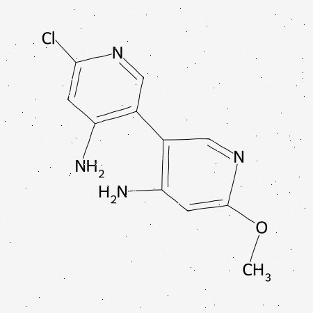 COc1cc(N)c(-c2cnc(Cl)cc2N)cn1